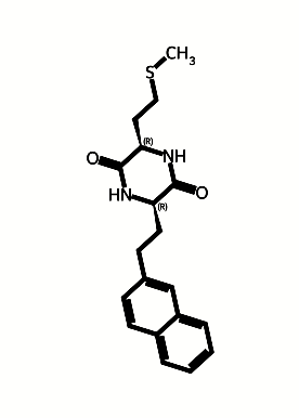 CSCC[C@H]1NC(=O)[C@@H](CCc2ccc3ccccc3c2)NC1=O